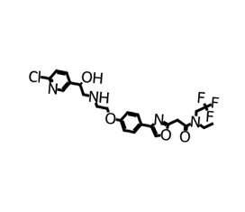 CCN(CC(F)(F)F)C(=O)Cc1nc(-c2ccc(OCCNC[C@H](O)c3ccc(Cl)nc3)cc2)co1